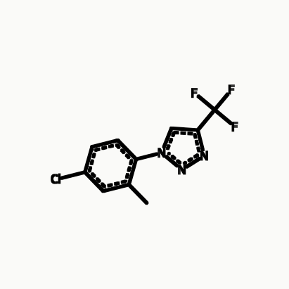 Cc1cc(Cl)ccc1-n1cc(C(F)(F)F)nn1